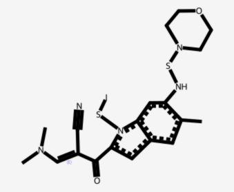 Cc1cc2cc(C(=O)/C(C#N)=C/N(C)C)n(SI)c2cc1NSN1CCOCC1